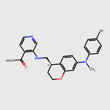 COC(=O)c1ccncc1NC[C@@H]1CCOc2cc(N(C)c3ccc(C(C)C)cc3)ccc21